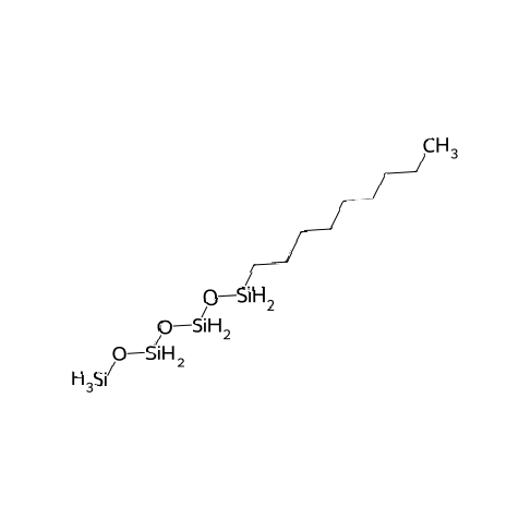 CCCCCCCCC[SiH2]O[SiH2]O[SiH2]O[SiH3]